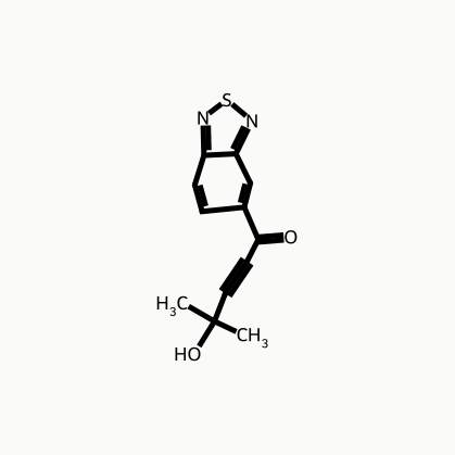 CC(C)(O)C#CC(=O)c1ccc2nsnc2c1